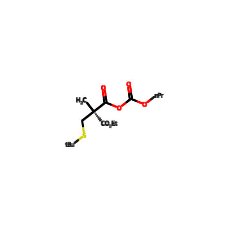 CCCOC(=O)OC(=O)[C@](C)(CSC(C)(C)C)C(=O)OCC